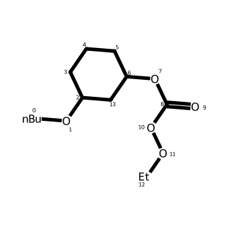 CCCCOC1CCCC(OC(=O)OOCC)C1